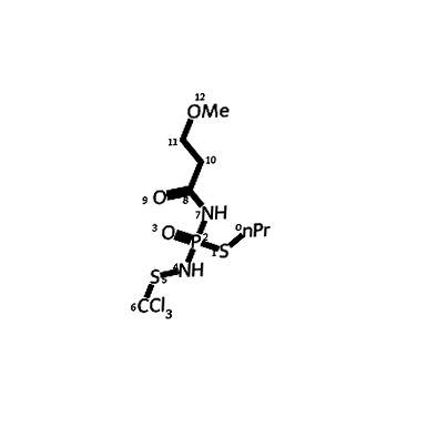 CCCSP(=O)(NSC(Cl)(Cl)Cl)NC(=O)CCOC